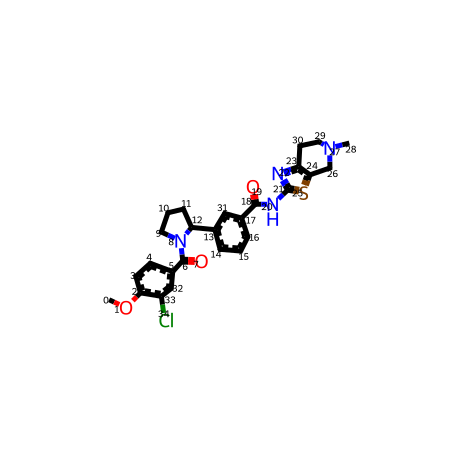 COc1ccc(C(=O)N2CCCC2c2cccc(C(=O)Nc3nc4c(s3)CN(C)CC4)c2)cc1Cl